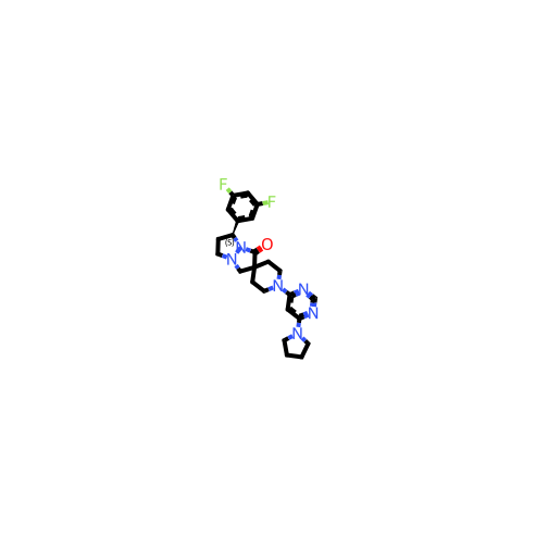 O=C1N2[C@H](c3cc(F)cc(F)c3)CCN2CC12CCN(c1cc(N3CCCC3)ncn1)CC2